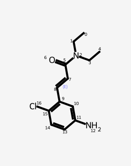 CCN(CC)C(=O)/C=C/c1cc(N)ccc1Cl